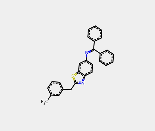 FC(F)(F)c1cccc(Cc2nc3ccc(N=C(c4ccccc4)c4ccccc4)cc3s2)c1